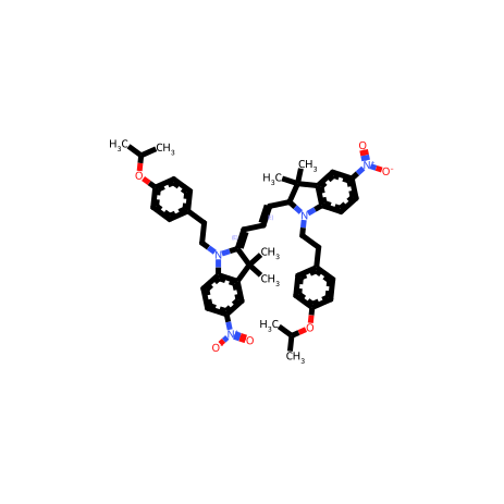 CC(C)Oc1ccc(CCN2/C(=C/C=C/C3N(CCc4ccc(OC(C)C)cc4)c4ccc([N+](=O)[O-])cc4C3(C)C)C(C)(C)c3cc([N+](=O)[O-])ccc32)cc1